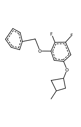 CC1CC(Oc2cc(F)c(F)c(OCc3ccccc3)c2)C1